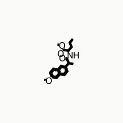 CCCC(NC(=O)C(C)c1ccc2cc(OC)ccc2c1)C(=O)OC